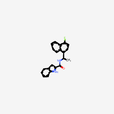 CC(NC(=O)c1cc2ccccc2[nH]1)c1ccc(F)c2ccccc12